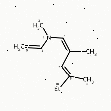 C=CN(C)/C=C(C)\C=C(/C)CC